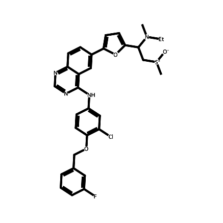 CCN(C)C(C[S+](C)[O-])c1ccc(-c2ccc3ncnc(Nc4ccc(OCc5cccc(F)c5)c(Cl)c4)c3c2)o1